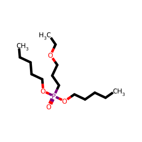 CCCCCOP(=O)(CCCOCC)OCCCCC